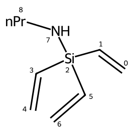 C=C[Si](C=C)(C=C)NCCC